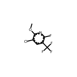 COc1nc(F)c(C(F)(F)F)cc1Cl